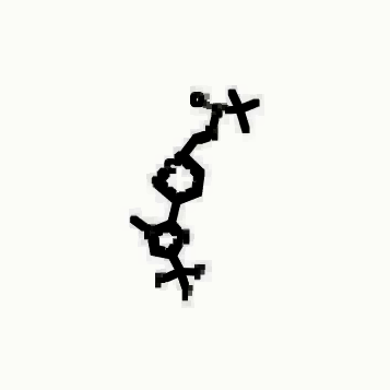 Cn1cc(C(F)(F)F)nc1-c1ccc(C=N[S@+]([O-])C(C)(C)C)cc1